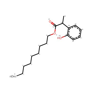 CCCCCCCCCCCCCCCCCCOC(=O)C(C)c1ccccc1O